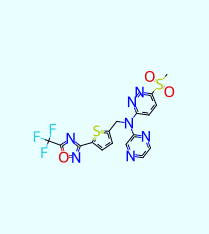 CS(=O)(=O)c1ccc(N(Cc2ccc(-c3noc(C(F)(F)F)n3)s2)c2cnccn2)nn1